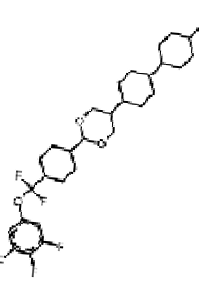 CC1CCC(C2CCC(C3COC(C4CCC(C(F)(F)Oc5cc(F)c(F)c(F)c5)CC4)OC3)CC2)CC1